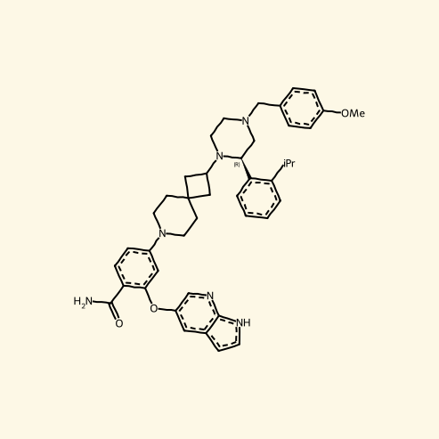 COc1ccc(CN2CCN(C3CC4(CCN(c5ccc(C(N)=O)c(Oc6cnc7[nH]ccc7c6)c5)CC4)C3)[C@H](c3ccccc3C(C)C)C2)cc1